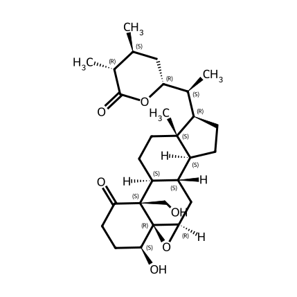 C[C@@H]([C@H]1CC[C@H]2[C@@H]3C[C@H]4O[C@]45[C@@H](O)CCC(=O)[C@]5(CO)[C@H]3CC[C@]12C)[C@H]1C[C@H](C)[C@@H](C)C(=O)O1